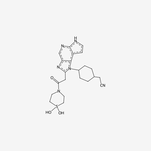 N#CCC1CCC(n2c(CC(=O)N3CCS(O)(O)CC3)nc3cnc4[nH]ccc4c32)CC1